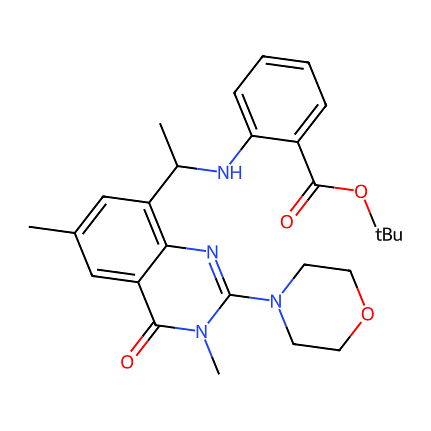 Cc1cc(C(C)Nc2ccccc2C(=O)OC(C)(C)C)c2nc(N3CCOCC3)n(C)c(=O)c2c1